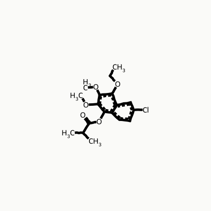 CCOc1c(OC)c(OC)c(OC(=O)C(C)C)c2ccc(Cl)cc12